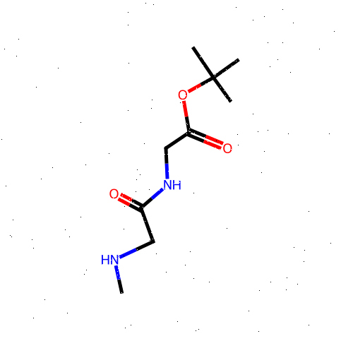 CNCC(=O)NCC(=O)OC(C)(C)C